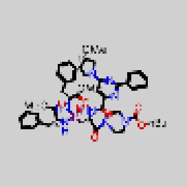 CCCCOC(=O)N1CCN(C(=O)[C@H](CP(=O)(N[C@@H](Cc2ccccc2)C(=O)OC)N[C@@H](Cc2ccccc2)C(=O)OC)NC(=O)c2cc(N3CC[C@H](OC)C3)nc(-c3ccccc3)n2)CC1